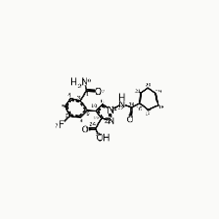 NC(=O)c1ccc(F)cc1-c1cn(NC(=O)C2CCCCC2)nc1C(=O)O